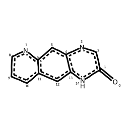 O=c1cnc2cc3ncccc3cc2[nH]1